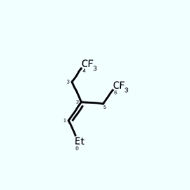 CCC=C(CC(F)(F)F)CC(F)(F)F